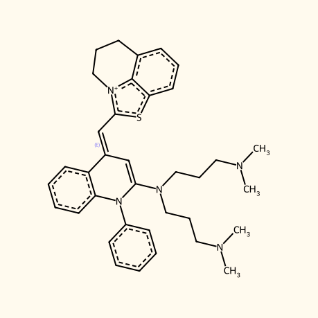 CN(C)CCCN(CCCN(C)C)C1=C/C(=C\c2sc3cccc4c3[n+]2CCC4)c2ccccc2N1c1ccccc1